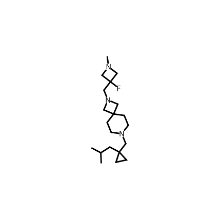 CC(C)CC1(CN2CCC3(CC2)CN(CC2(F)CN(C)C2)C3)CC1